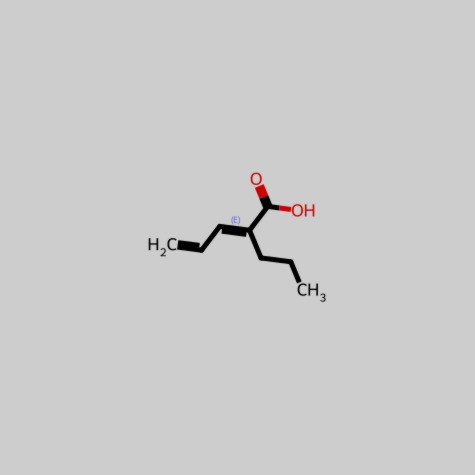 C=C/C=C(\CCC)C(=O)O